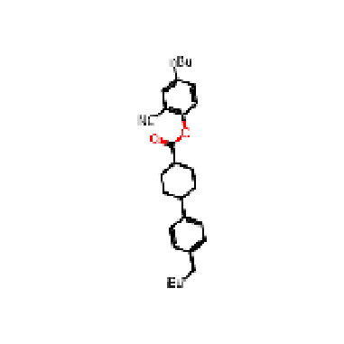 CCCCc1ccc(OC(=O)C2CCC(c3ccc(CC(C)CC)cc3)CC2)c(C#N)c1